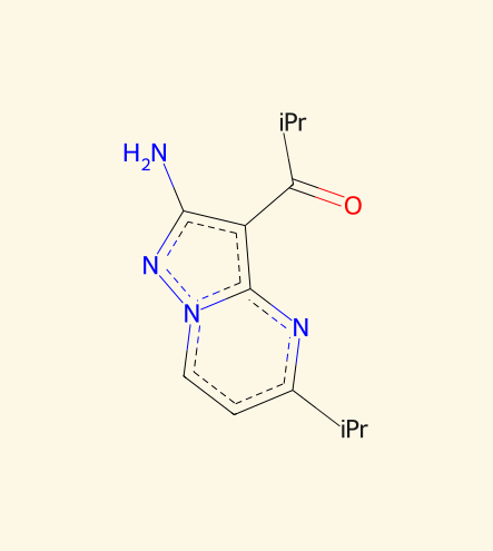 CC(C)C(=O)c1c(N)nn2ccc(C(C)C)nc12